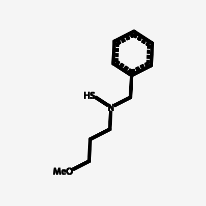 COCCCN(S)Cc1ccccc1